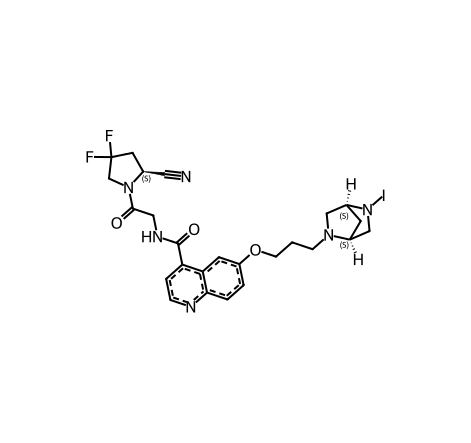 N#C[C@@H]1CC(F)(F)CN1C(=O)CNC(=O)c1ccnc2ccc(OCCCN3C[C@@H]4C[C@H]3CN4I)cc12